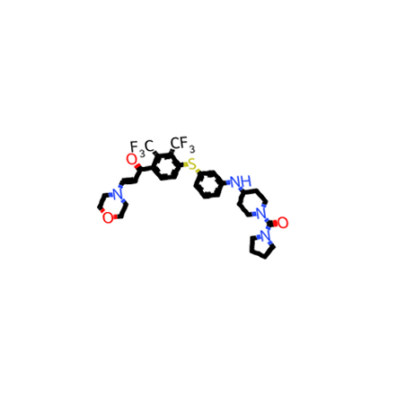 O=C(C=CN1CCOCC1)c1ccc(Sc2cccc(NC3CCN(C(=O)N4CCCC4)CC3)c2)c(C(F)(F)F)c1C(F)(F)F